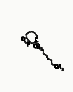 CCCCCCCCCC1(C)CCCCCCC2OCC2(F)C1